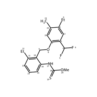 CCc1cc(C(F)F)c(OCc2c(CC)cccc2NC(=S)OC)cc1C